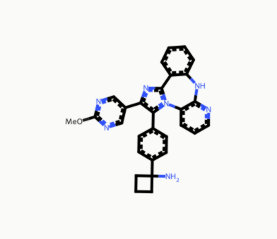 COc1ncc(-c2nc3n(c2-c2ccc(C4(N)CCC4)cc2)-c2cccnc2Nc2ccccc2-3)cn1